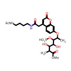 COC(=O)C(C)C(O)C(O)C(OS(=O)(=O)O)C(C)Oc1ccc2c(CC(=O)NCCCCNC(C)=O)cc(=O)oc2c1